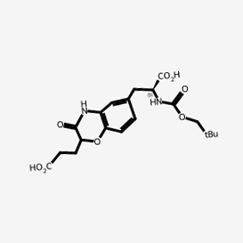 CC(C)(C)COC(=O)N[C@@H](Cc1ccc2c(c1)NC(=O)C(CCC(=O)O)O2)C(=O)O